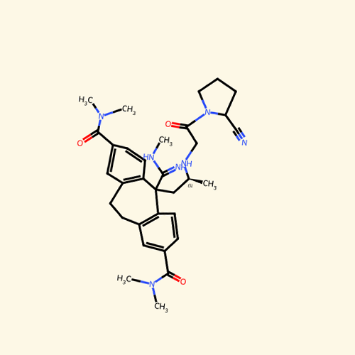 CNC(=N)C1(C[C@H](C)NCC(=O)N2CCCC2C#N)c2ccc(C(=O)N(C)C)cc2CCc2cc(C(=O)N(C)C)ccc21